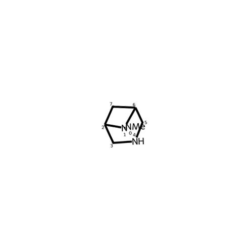 CNN1C2CNCC1C2